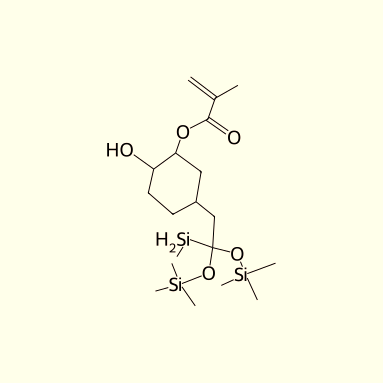 C=C(C)C(=O)OC1CC(CC(O[Si](C)(C)C)(O[Si](C)(C)C)[SiH2]C)CCC1O